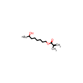 C=C(C)C(=O)OCCCCCCC(O)CCCC